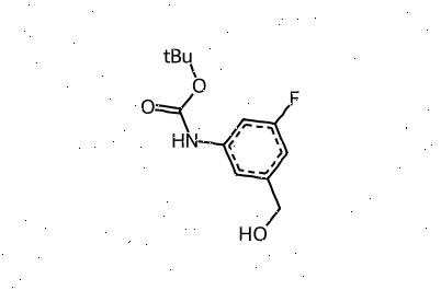 CC(C)(C)OC(=O)Nc1cc(F)cc(CO)c1